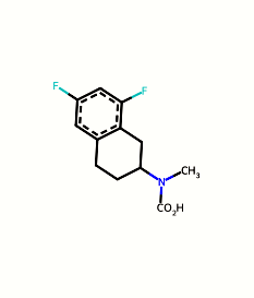 CN(C(=O)O)C1CCc2cc(F)cc(F)c2C1